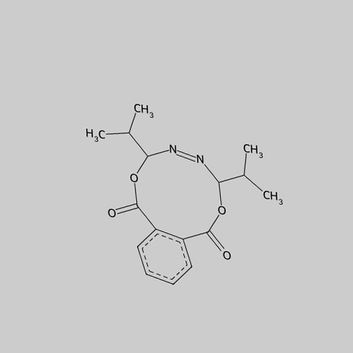 CC(C)C1N=NC(C(C)C)OC(=O)c2ccccc2C(=O)O1